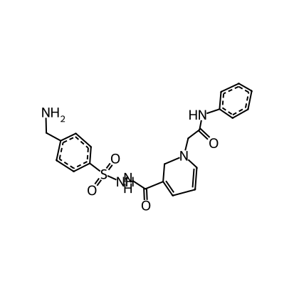 NCc1ccc(S(=O)(=O)NNC(=O)C2=CC=CN(CC(=O)Nc3ccccc3)C2)cc1